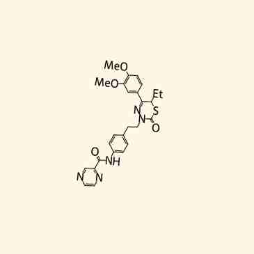 CCC1SC(=O)N(CCc2ccc(NC(=O)c3cnccn3)cc2)N=C1c1ccc(OC)c(OC)c1